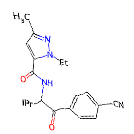 CCn1nc(C)cc1C(=O)NC(C(=O)c1ccc(C#N)cc1)C(C)C